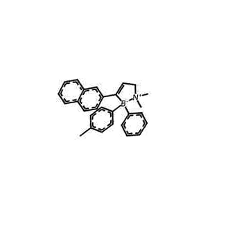 Cc1ccc([B-]2(c3ccccc3)C(c3ccc4ccccc4c3)=CC[N+]2(C)C)cc1